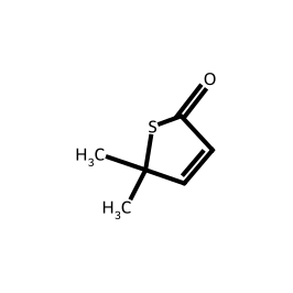 CC1(C)C=CC(=O)S1